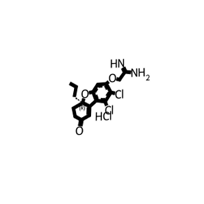 CCC[C@@]12CCC(=O)C=C1c1c(cc(OCC(=N)N)c(Cl)c1Cl)O2.Cl